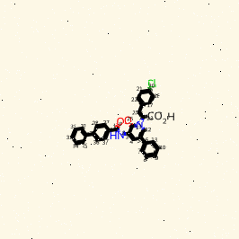 O=C(Nc1cc(-c2ccccc2)cn(C(Cc2ccc(Cl)cc2)C(=O)O)c1=O)c1ccc(-c2ccccc2)cc1